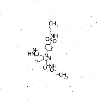 C=CCONC(=O)c1nn(-c2ccc(S(=O)(=O)NCCCC)cc2)c2c1ccc1[nH]ncc12